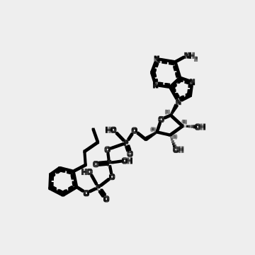 CCCCc1ccccc1OP(=O)(O)OP(=O)(O)OP(=O)(O)OC[C@H]1O[C@@H](n2cnc3c(N)ncnc32)[C@H](O)[C@@H]1O